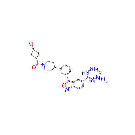 N/N=C(\NN)c1ccc2noc(-c3cccc(C4CCN(C(=O)C5CC(=O)C5)CC4)c3)c2c1